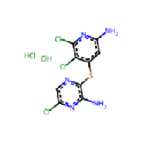 Cl.Cl.Nc1cc(Sc2ncc(Cl)nc2N)c(Cl)c(Cl)n1